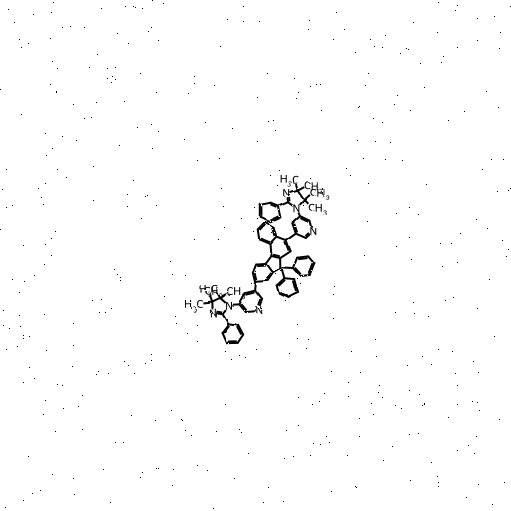 CC1(C)N=C(c2ccccc2)N(c2cncc(-c3ccc4c(c3)C(c3ccccc3)(c3ccccc3)c3cc(-c5cncc(N6C(c7ccccc7)=NC(C)(C)C6(C)C)c5)c5ccccc5c3-4)c2)C1(C)C